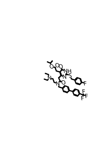 CCN(CC)CCN(Cc1ccc(-c2ccc(C(F)(F)F)cc2)cc1)C(=O)Cc1nc(SCc2ccc(F)cc2)[nH]c(=O)c1CC(=O)OC(C)C